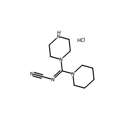 Cl.N#CN=C(N1CCCCC1)N1CCNCC1